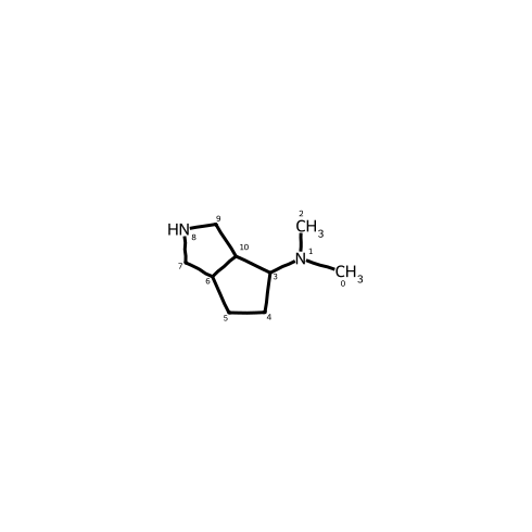 CN(C)C1CCC2CNCC21